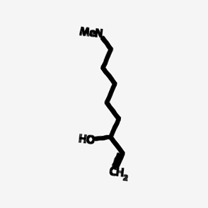 C=CC(O)CCCCCNC